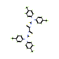 Fc1c(F)c(C(F)(F)F)c(F)c(F)c1N(c1nc(-c2csc(N(c3c(F)c(F)c(C(F)(F)F)c(F)c3F)c3c(F)c(F)c(C(F)(F)F)c(F)c3F)n2)cs1)c1c(F)c(F)c(C(F)(F)F)c(F)c1F